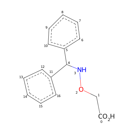 O=C(O)CONC(c1ccccc1)c1ccccc1